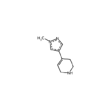 Cn1cc(C2=CCNCC2)cn1